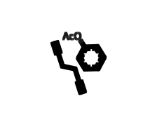 C#CCCC#C.CC(=O)Oc1ccccc1